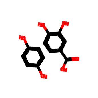 O=C(O)c1ccc(O)c(O)c1.Oc1ccc(O)cc1